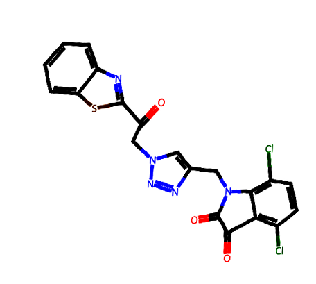 O=C(Cn1cc(CN2C(=O)C(=O)c3c(Cl)ccc(Cl)c32)nn1)c1nc2ccccc2s1